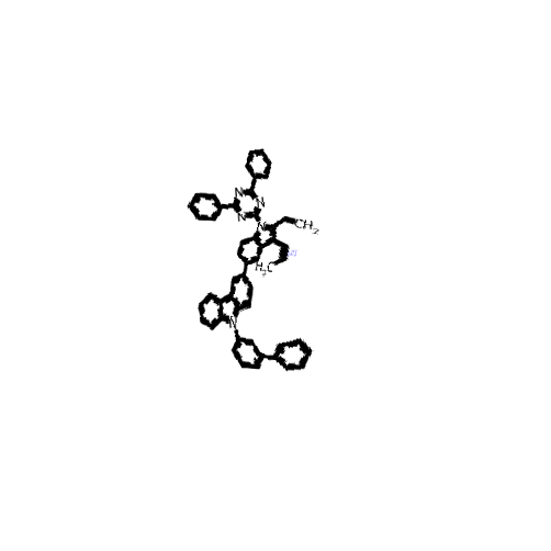 C=Cc1c(/C=C\C)c2cc(-c3ccc4c(c3)c3ccccc3n4-c3cccc(-c4ccccc4)c3)ccc2n1-c1nc(-c2ccccc2)nc(-c2ccccc2)n1